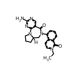 CCn1ccc2c(N3C[C@@H]4CCCN4c4nc(N)ncc4C3=O)cccc2c1=O